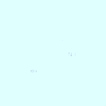 CC1(C)CNc2ccc(C(C)(C)C)cc2C1